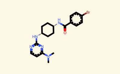 CN(C)c1ccnc(N[C@H]2CC[C@@H](NC(=O)c3ccc(Br)cc3)CC2)n1